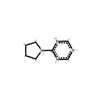 [c]1ncnc(N2CCCC2)n1